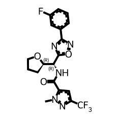 Cn1nc(C(F)(F)F)cc1C(=O)N[C@@H](c1nc(-c2cccc(F)c2)no1)[C@H]1CCCO1